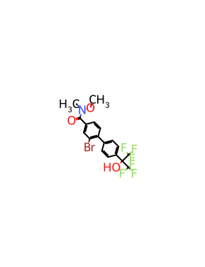 CON(C)C(=O)c1ccc(-c2ccc(C(O)(C(F)(F)F)C(F)(F)F)cc2)c(Br)c1